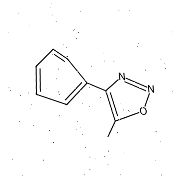 Cc1onnc1-c1[c]cccc1